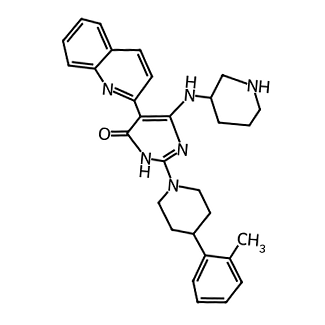 Cc1ccccc1C1CCN(c2nc(NC3CCCNC3)c(-c3ccc4ccccc4n3)c(=O)[nH]2)CC1